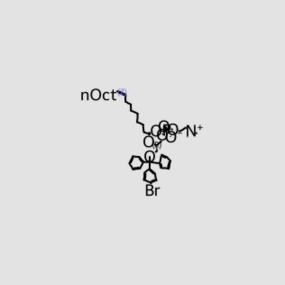 CCCCCCCC/C=C\CCCCCCCC(=O)O[C@H](COC(c1ccccc1)(c1ccccc1)c1ccc(Br)cc1)COP(=O)([O-])OCC[N+](C)(C)C